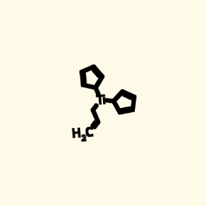 C=C[CH2][Ti]([CH]1C=CC=C1)[CH]1C=CC=C1